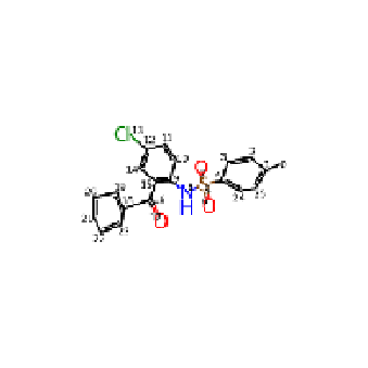 Cc1ccc(S(=O)(=O)Nc2ccc(Cl)cc2C(=O)c2ccccc2)cc1